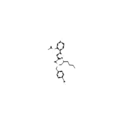 CCCCC1CN(Cc2ccc(C#N)cc2)C(=O)c2cc(-c3ccc(Cl)cc3NC(C)=O)nn21